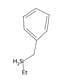 CC[SiH2]Cc1ccccc1